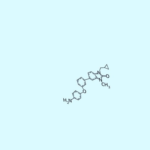 Cn1c(=O)n(CC2CC2)c2ccc(-c3cccc(Oc4ccc(N)cc4)c3)cc21